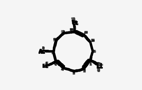 CCC1=CCC=C(CC)C(C(C)=O)CCC(CC)=CCC1